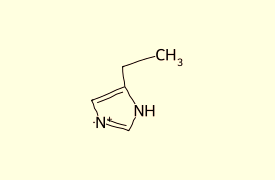 CCC1=C[N+]=CN1